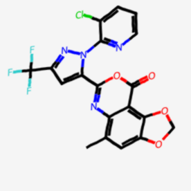 Cc1cc2c(c3c(=O)oc(-c4cc(C(F)(F)F)nn4-c4ncccc4Cl)nc13)OCO2